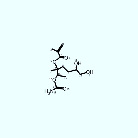 C=C(C)C(=O)OC(C)(CCC(O)CO)C(C)OC(N)=O